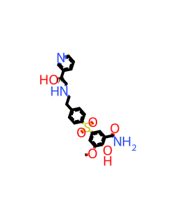 COc1cc(S(=O)(=O)c2ccc(CCNC[C@H](O)c3cccnc3)cc2)cc(C(N)=O)c1O